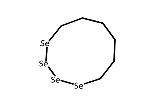 C1CCC[Se][Se][Se][Se]CC1